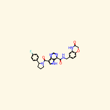 O=C1COc2ccc(CNC(=O)c3ncnc4c(C(=O)N5CCCC5c5ccc(F)cc5)c[nH]c34)cc2N1